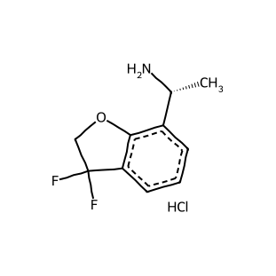 C[C@@H](N)c1cccc2c1OCC2(F)F.Cl